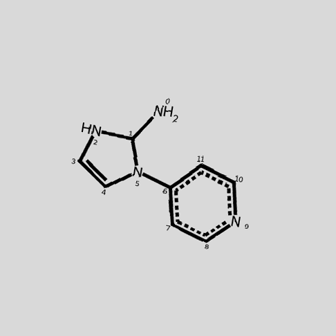 NC1NC=CN1c1ccncc1